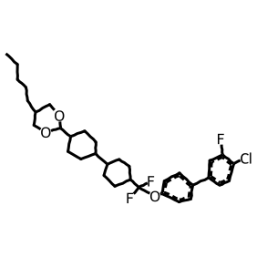 CCCCCC1COC(C2CCC(C3CCC(C(F)(F)Oc4ccc(-c5ccc(Cl)c(F)c5)cc4)CC3)CC2)OC1